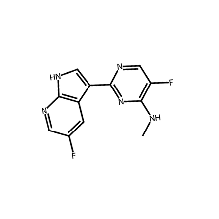 CNc1nc(-c2c[nH]c3ncc(F)cc23)ncc1F